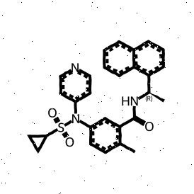 Cc1ccc(N(c2ccncc2)S(=O)(=O)C2CC2)cc1C(=O)N[C@H](C)c1cccc2ccccc12